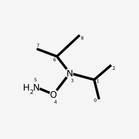 CC(C)N(ON)C(C)C